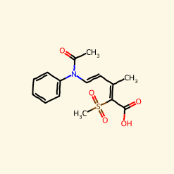 CC(=O)N(C=CC(C)=C(C(=O)O)S(C)(=O)=O)c1ccccc1